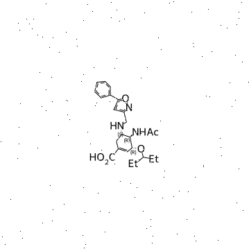 CCC(CC)O[C@@H]1C=C(C(=O)O)C[C@H](NCc2cc(-c3ccccc3)on2)[C@H]1NC(C)=O